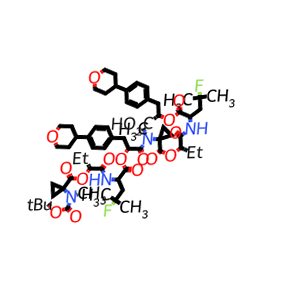 CCC(OC(=O)C1(N(C)C(=O)OC(C)(C)C)CC1)C(=O)NC(CC(C)(C)F)C(=O)OC(Cc1ccc(C2CCOCC2)cc1)C(=O)N(C)C1(C(=O)OC(CC)C(=O)NC(CC(C)(C)F)C(=O)OC(Cc2ccc(C3CCOCC3)cc2)C(=O)O)CC1